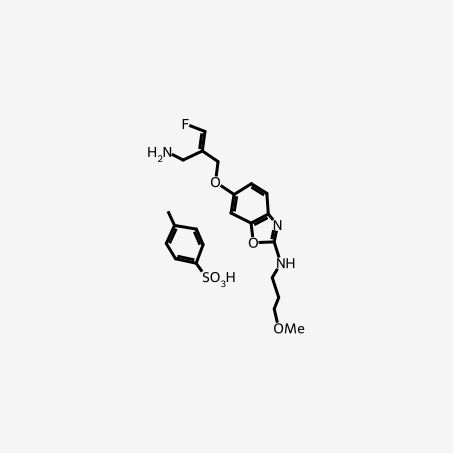 COCCCNc1nc2ccc(OCC(=CF)CN)cc2o1.Cc1ccc(S(=O)(=O)O)cc1